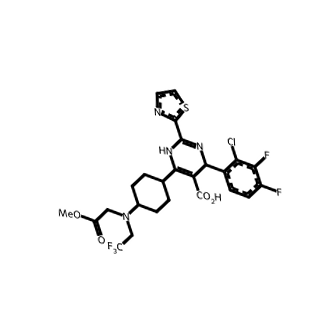 COC(=O)CN(CC(F)(F)F)C1CCC(C2=C(C(=O)O)C(c3ccc(F)c(F)c3Cl)N=C(c3nccs3)N2)CC1